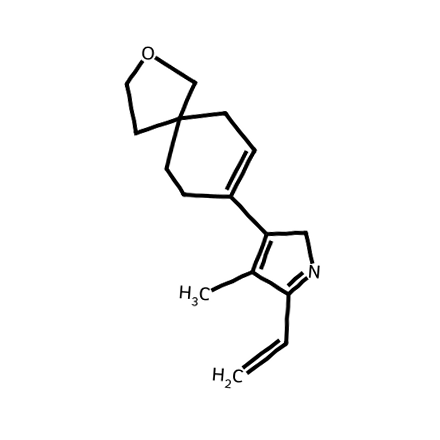 C=CC1=NCC(C2=CCC3(CCOC3)CC2)=C1C